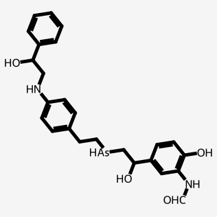 O=CNc1cc(C(O)C[AsH]CCc2ccc(NCC(O)c3ccccc3)cc2)ccc1O